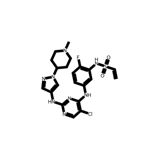 C=CS(=O)(=O)Nc1cc(Nc2nc(Nc3cnn(C4CCN(C)CC4)c3)ncc2Cl)ccc1F